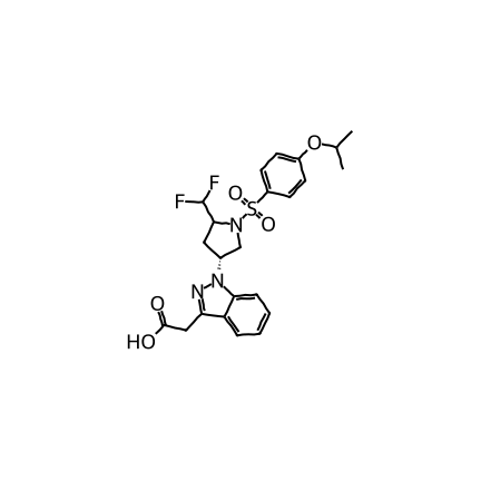 CC(C)Oc1ccc(S(=O)(=O)N2C[C@H](n3nc(CC(=O)O)c4ccccc43)CC2C(F)F)cc1